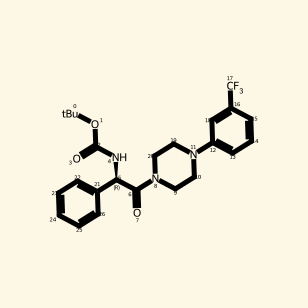 CC(C)(C)OC(=O)N[C@@H](C(=O)N1CCN(c2cccc(C(F)(F)F)c2)CC1)c1ccccc1